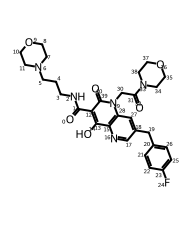 O=C(NCCCN1CCOCC1)c1c(O)c2ncc(Cc3ccc(F)cc3)cc2n(CC(=O)N2CCOCC2)c1=O